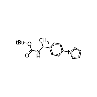 CC(NC(=O)OC(C)(C)C)c1ccc(-n2cccc2)cc1